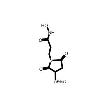 CCCCCC1CC(=O)N(CCC(=O)NO)C1=O